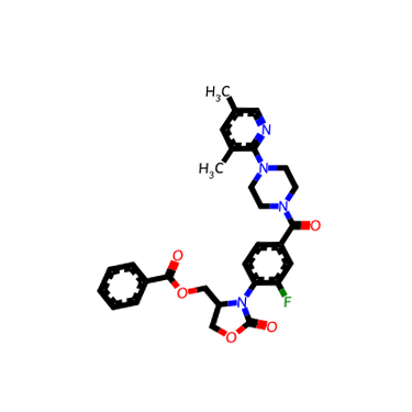 Cc1cnc(N2CCN(C(=O)c3ccc(N4C(=O)OCC4COC(=O)c4ccccc4)c(F)c3)CC2)c(C)c1